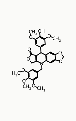 COc1cc(C2C3=C(COC3=O)N(Cc3cc(OC)c(OC)c(OC)c3)c3cc4c(cc32)OCO4)cc(OC)c1O